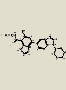 CN(O)C(=O)c1c(F)cc(-c2ccc3c(c2)ncn3C2CCCCC2)c2nc[nH]c12